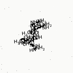 CC[C@H](C)[C@H](NC)C(=O)N[C@@H](CCCNC(=N)N)C(=O)N[C@@H](CO)C(=O)N[C@@H](CC(C)C)C(=O)N[C@@H](CCCNC(=N)N)C(=O)N[C@@H](CC(N)=O)C(N)=O